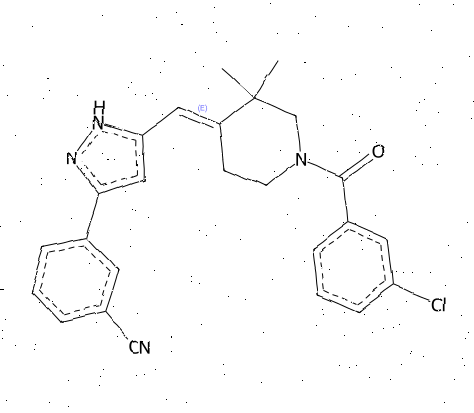 CC1(C)CN(C(=O)c2cccc(Cl)c2)CC/C1=C\c1cc(-c2cccc(C#N)c2)n[nH]1